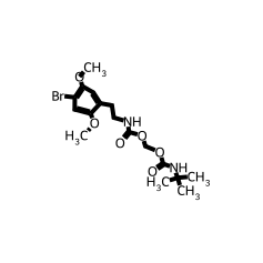 COc1cc(CCNC(=O)OCOC(=O)NC(C)(C)C)c(OC)cc1Br